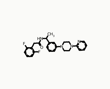 CC(NC(=O)Cc1c(F)cccc1F)c1cccc(N2CCN(c3ccccn3)CC2)c1